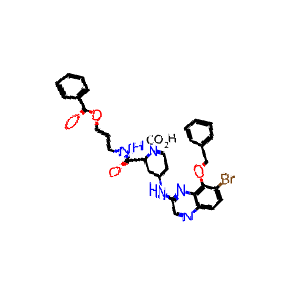 O=C(OCCCNC(=O)C1CC(Nc2cnc3ccc(Br)c(OCc4ccccc4)c3n2)CCN1C(=O)O)c1ccccc1